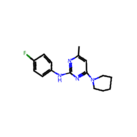 Cc1cc(N2CCCCC2)nc(Nc2ccc(F)cc2)n1